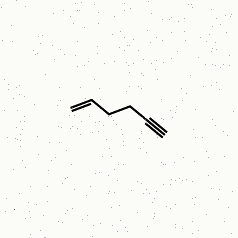 C#CCCC=C